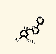 Cc1ccc(Nc2nccc(-c3ccncc3)n2)cc1C